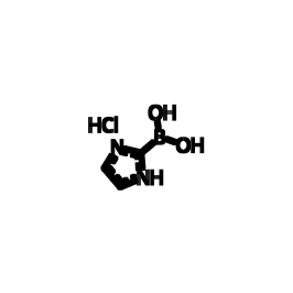 Cl.OB(O)c1ncc[nH]1